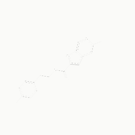 Cc1ccc(CCNC(=O)c2cc3cc(Cl)ncc3[nH]2)cc1